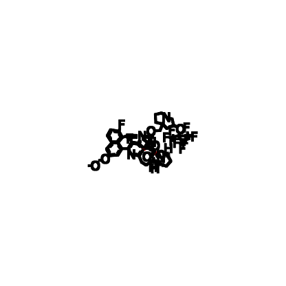 C#Cc1c(F)ccc2cc(OCOC)cc(-c3nc4c5c(nc(OCC67CCCN6CC(OC(C(F)(F)F)(C(F)(F)F)C(F)(F)F)C7)nc5c3F)N3C[C@H]5CC[C@@H]([C@H]3CC4)N5C(=O)OC(C)(C)C)c12